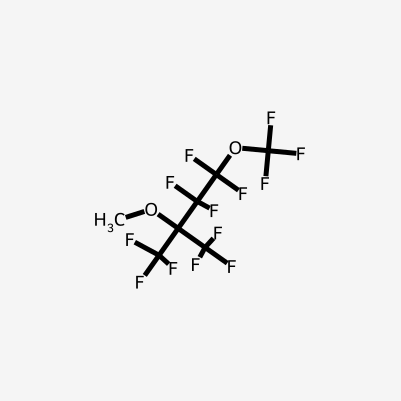 COC(C(F)(F)F)(C(F)(F)F)C(F)(F)C(F)(F)OC(F)(F)F